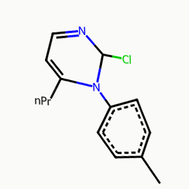 CCCC1=CC=NC(Cl)N1c1ccc(C)cc1